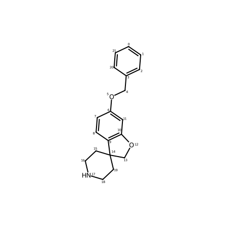 c1ccc(COc2ccc3c(c2)OCC32CCNCC2)cc1